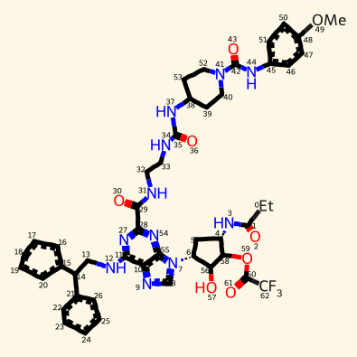 CCC(=O)N[C@H]1C[C@@H](n2cnc3c(NCC(c4ccccc4)c4ccccc4)nc(C(=O)NCCNC(=O)NC4CCN(C(=O)Nc5ccc(OC)cc5)CC4)nc32)C(O)C1OC(=O)C(F)(F)F